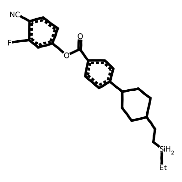 CC[SiH2]CCC1CCC(c2ccc(C(=O)Oc3ccc(C#N)c(F)c3)cc2)CC1